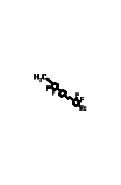 CC#Cc1ccc(-c2ccc(/C=C/c3ccc(CC)c(F)c3F)cc2)c(F)c1F